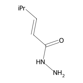 CC(C)C=CC(=O)NN